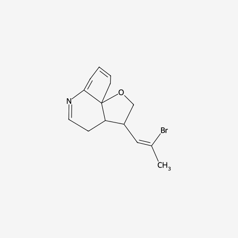 CC(Br)=CC1COC23CC=CC=C2N=CCC13